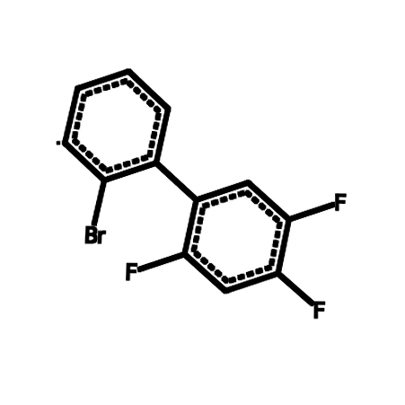 Fc1cc(F)c(-c2ccc[c]c2Br)cc1F